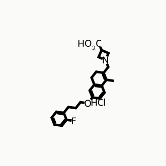 CC1=C(CN2CC(C(=O)O)C2)CCc2cc(OCCCc3ccccc3F)ccc21.Cl